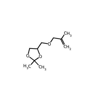 C=C(C)COCC1COC(C)(C)O1